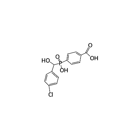 O=C(O)c1ccc(P(=O)(O)C(O)c2ccc(Cl)cc2)cc1